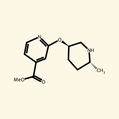 COC(=O)c1ccnc(O[C@@H]2CC[C@@H](C)NC2)c1